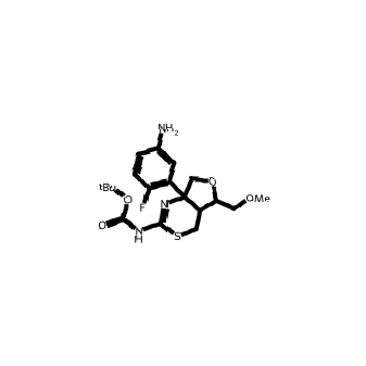 COCC1OCC2(c3cc(N)ccc3F)N=C(NC(=O)OC(C)(C)C)SCC12